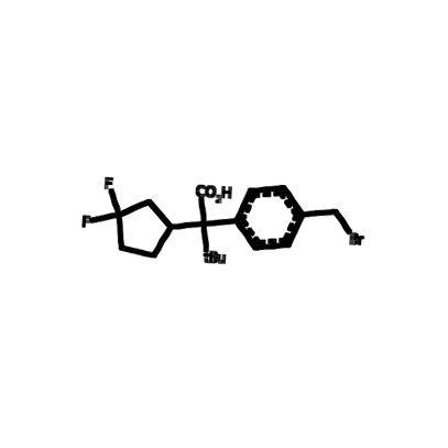 CC(C)(C)C(C(=O)O)(c1ccc(CBr)cc1)C1CCC(F)(F)C1